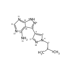 CC(C)Cn1cc(-c2n[nH]c3ncnc(N)c23)cn1